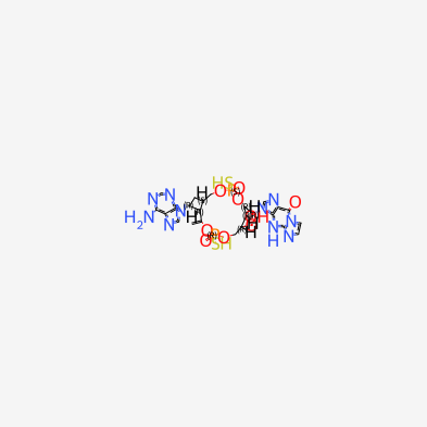 C=C1O[P@](=O)(S)OC[C@H]2O[C@@H](n3cnc4c(=O)n5ccnc5[nH]c43)[C@H](O[P@@](=O)(S)OC[C@H]3C[C@@H](n4cnc5c(N)ncnc54)[C@H]13)[C@@H]2O